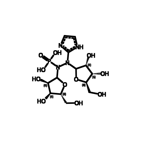 O=P(O)(O)N(C1O[C@H](CO)[C@@H](O)[C@H]1O)N(c1ncc[nH]1)C1O[C@H](CO)[C@@H](O)[C@H]1O